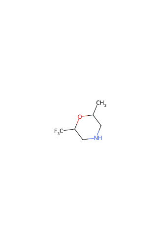 CC1CNCC(C(F)(F)F)O1